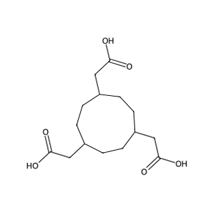 O=C(O)CC1CCC(CC(=O)O)CCC(CC(=O)O)CC1